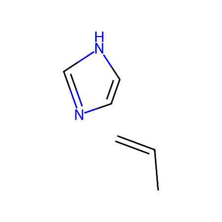 C=CC.c1c[nH]cn1